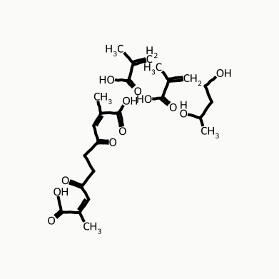 C=C(C)C(=O)O.C=C(C)C(=O)O.CC(=CC(=O)CCC(=O)C=C(C)C(=O)O)C(=O)O.CC(O)CCO